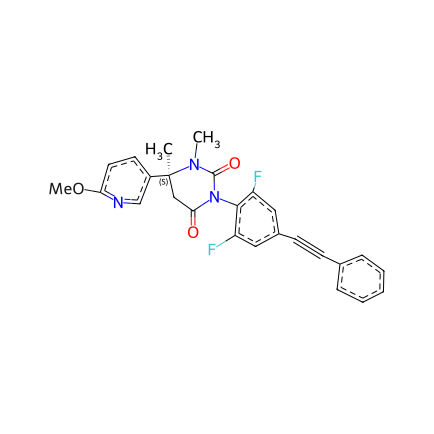 COc1ccc([C@]2(C)CC(=O)N(c3c(F)cc(C#Cc4ccccc4)cc3F)C(=O)N2C)cn1